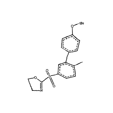 Cc1ccc(S(=O)(=O)C2=NCCO2)cc1-c1ccc(OC(C)(C)C)cc1